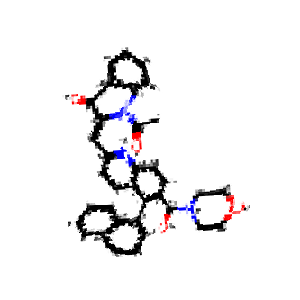 CC(=O)N1/C(=C\c2ccc3c(-c4cccc5ccccc45)c(C(=O)N4CCOCC4)ccc3n2)C(=O)c2ccccc21